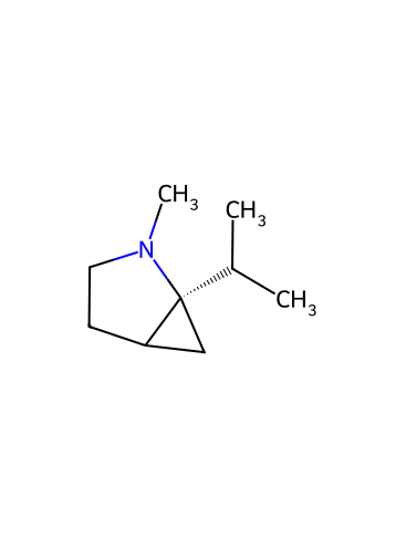 CC(C)[C@]12CC1CCN2C